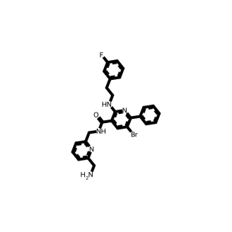 NCc1cccc(CNC(=O)c2cc(Br)c(-c3ccccc3)nc2NCCc2cccc(F)c2)n1